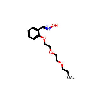 CC(=O)OCCOCCOCCOc1ccccc1/C=N/O